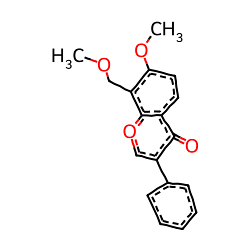 COCc1c(OC)ccc2c(=O)c(-c3ccccc3)coc12